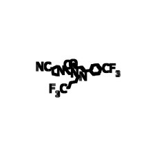 N#CC1CCN(C(=O)Cn2c(CCCC(F)(F)F)nc(-c3ccc(C(F)(F)F)cc3)cc2=O)C1